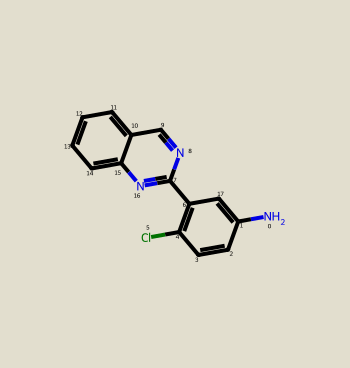 Nc1ccc(Cl)c(-c2ncc3ccccc3n2)c1